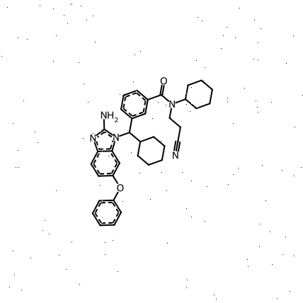 N#CCCN(C(=O)c1cccc(C(C2CCCCC2)n2c(N)nc3ccc(Oc4ccccc4)cc32)c1)C1CCCCC1